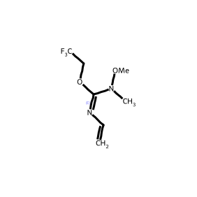 C=C/N=C(/OCC(F)(F)F)N(C)OC